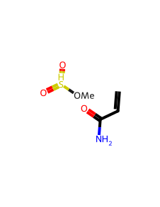 C=CC(N)=O.CO[SH](=O)=O